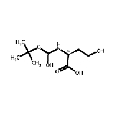 CC(C)(C)OC(O)N[C@@H](CCO)C(=O)O